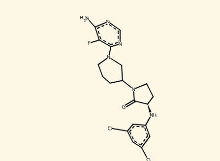 Nc1ncnc(N2CCCC(N3CC[C@@H](Nc4cc(Cl)cc(Cl)c4)C3=O)C2)c1F